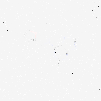 Clc1nc(NCc2ccco2)c2[nH]cnc2n1